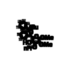 CCCO[C@H]1[C@H](O)[C@@H](CO[Si](c2ccccc2)(c2ccccc2)C(C)(C)C)OC(OC)[C@@H]1OC